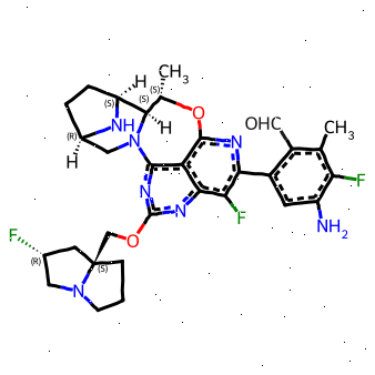 Cc1c(F)c(N)cc(-c2nc3c4c(nc(OC[C@@]56CCCN5C[C@H](F)C6)nc4c2F)N2C[C@H]4CC[C@H](N4)[C@H]2[C@H](C)O3)c1C=O